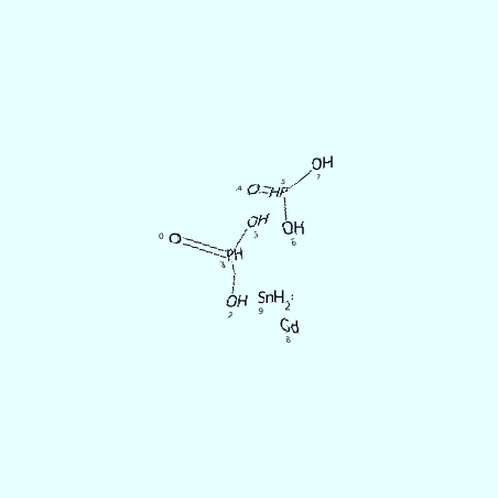 O=[PH](O)O.O=[PH](O)O.[Gd].[SnH2]